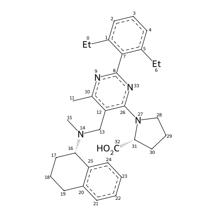 CCc1cccc(CC)c1-c1nc(C)c(CN(C)[C@H]2CCCc3ccccc32)c(N2CCC[C@@H]2C(=O)O)n1